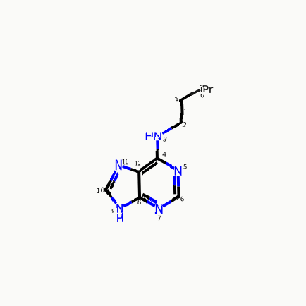 CC(C)CCNc1ncnc2[nH]cnc12